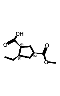 CC[C@@H]1C[C@H](C(=O)OC)C[C@@H]1C(=O)O